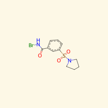 O=C(NBr)c1cccc(S(=O)(=O)N2CCCC2)c1